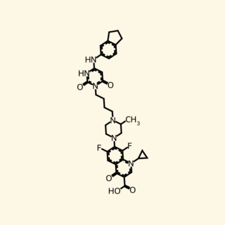 CC1CN(c2c(F)cc3c(=O)c(C(=O)O)cn(C4CC4)c3c2F)CCN1CCCCn1c(=O)cc(Nc2ccc3c(c2)CCC3)[nH]c1=O